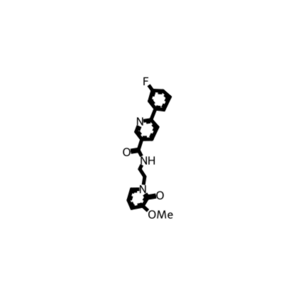 COc1cccn(CCNC(=O)c2ccc(-c3cccc(F)c3)nc2)c1=O